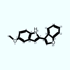 COc1ccc2[nH]c(-c3coc4ccccc34)cc2c1